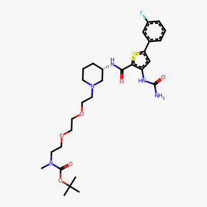 CN(CCOCCOCCN1CCC[C@H](NC(=O)c2sc(-c3cccc(F)c3)cc2NC(N)=O)C1)C(=O)OC(C)(C)C